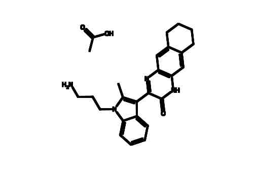 CC(=O)O.Cc1c(-c2nc3cc4c(cc3[nH]c2=O)CCCC4)c2ccccc2n1CCCN